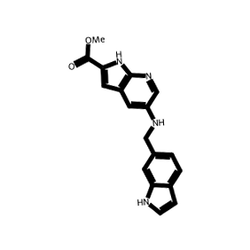 COC(=O)c1cc2cc(NCc3ccc4cc[nH]c4c3)cnc2[nH]1